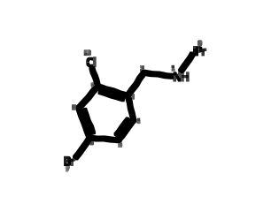 CC(C)NCc1ccc(Br)cc1Cl